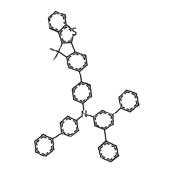 CC1(C)c2cc(-c3ccc(N(c4ccc(-c5ccccc5)cc4)c4cc(-c5ccccc5)cc(-c5ccccc5)c4)cc3)ccc2-c2sc3ccccc3c21